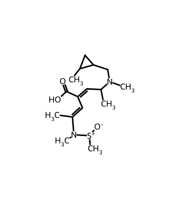 C/C(=C\C(=C/C(C)N(C)CC1CC1C)C(=O)O)N(C)[S+](C)[O-]